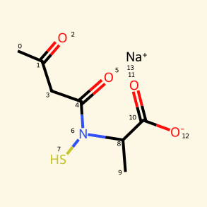 CC(=O)CC(=O)N(S)C(C)C(=O)[O-].[Na+]